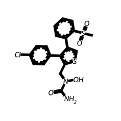 CS(=O)(=O)c1ccccc1-c1csc(CN(O)C(N)=O)c1-c1ccc(Cl)cc1